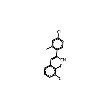 Cc1cc(Cl)ccc1C(C#N)=Cc1cccc(Cl)c1F